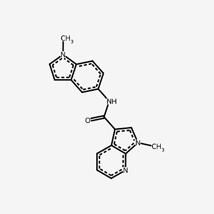 Cn1ccc2cc(NC(=O)c3cn(C)c4ncccc34)ccc21